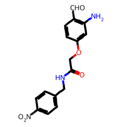 Nc1cc(OCC(=O)NCc2ccc([N+](=O)[O-])cc2)ccc1C=O